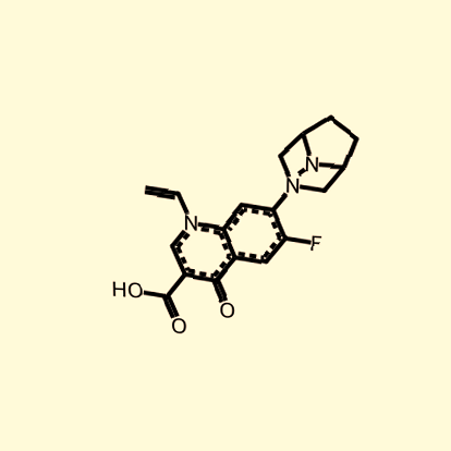 C=Cn1cc(C(=O)O)c(=O)c2cc(F)c(N3CC4CCC(C3)N4C)cc21